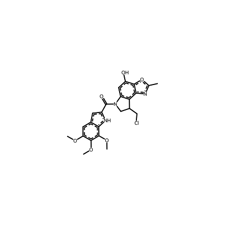 COc1cc2cc(C(=O)N3CC(CCl)c4c3cc(O)c3oc(C)nc43)[nH]c2c(OC)c1OC